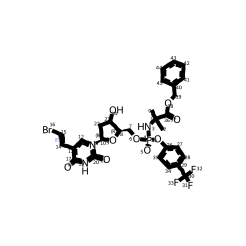 CC(C)(NP(=O)(OC[C@H]1O[C@@H](n2cc(/C=C/Br)c(=O)[nH]c2=O)CC1O)Oc1ccc(C(F)(F)F)cc1)C(=O)OCc1ccccc1